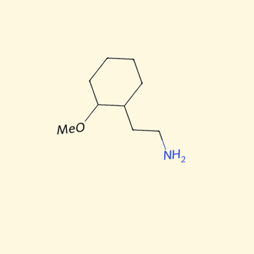 COC1CCCCC1CCN